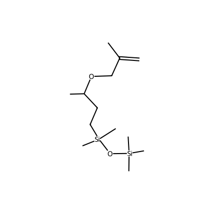 C=C(C)COC(C)CC[Si](C)(C)O[Si](C)(C)C